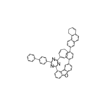 C1=CC(c2nc(-c3ccc(-c4ccccc4)cc3)nc(-c3cccc4oc5ccc(-c6ccc(-c7ccc8c9c(ccc8c7)C=CCC9)cc6)cc5c34)n2)=CCCC1